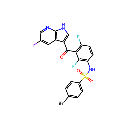 CC(C)c1ccc(S(=O)(=O)Nc2ccc(F)c(C(=O)c3c[nH]c4ncc(I)cc34)c2F)cc1